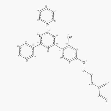 C=CC(=O)OCCOc1ccc(-c2nc(-c3ccccc3)nc(-c3ccccc3)n2)c(O)c1